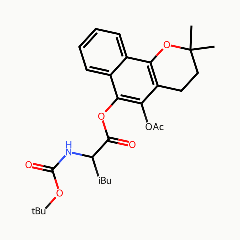 CCC(C)C(NC(=O)OC(C)(C)C)C(=O)Oc1c(OC(C)=O)c2c(c3ccccc13)OC(C)(C)CC2